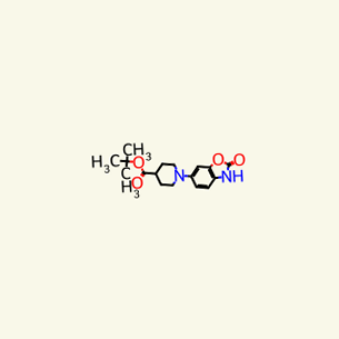 CC(C)(C)OC(=O)C1CCN(c2ccc3[nH]c(=O)oc3c2)CC1